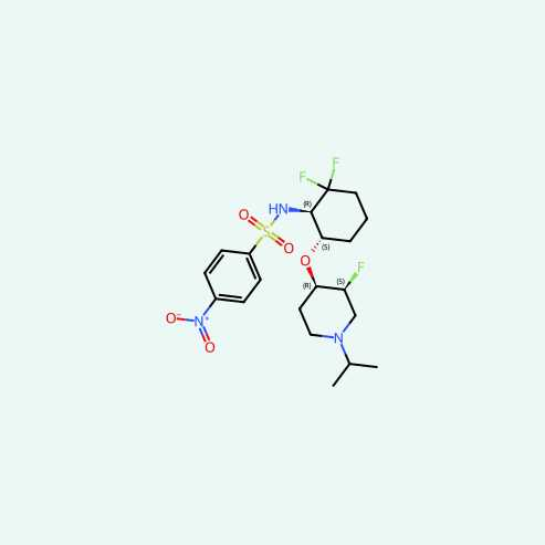 CC(C)N1CC[C@@H](O[C@H]2CCCC(F)(F)[C@@H]2NS(=O)(=O)c2ccc([N+](=O)[O-])cc2)[C@@H](F)C1